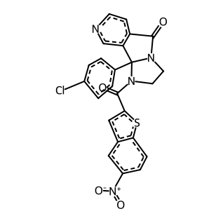 O=C(c1cc2cc([N+](=O)[O-])ccc2s1)N1CCN2C(=O)c3ccncc3C12c1ccc(Cl)cc1